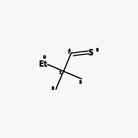 [CH2]CC(C)(C)[C]=S